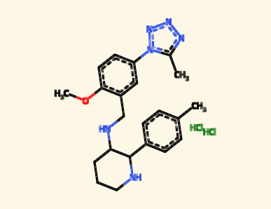 COc1ccc(-n2nnnc2C)cc1CNC1CCCNC1c1ccc(C)cc1.Cl.Cl